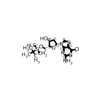 CC(C)(C)[Si](C)(C)OC[C@H]1O[C@@H](n2cnc3c(Cl)nc(N)nc32)C[C@@H]1O